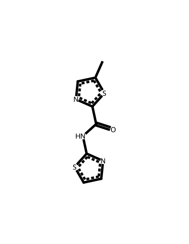 Cc1cnc(C(=O)Nc2nccs2)s1